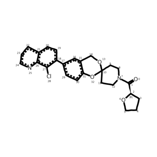 O=C([C@H]1CCCO1)N1CCC2(CC1)OCc1cc(-c3ccc4cccnc4c3Cl)ccc1O2